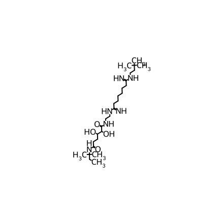 CCC(C)(C)NC(=O)CCC(O)C(O)C(=O)NCCNC(=N)CCCCCCC(=N)NCCC(C)(C)C